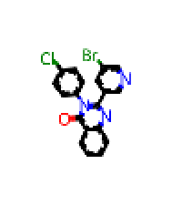 O=c1c2ccccc2nc(-c2cncc(Br)c2)n1-c1ccc(Cl)cc1